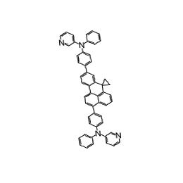 c1ccc(N(c2ccc(-c3ccc4c(c3)C3(CC3)c3cccc5c(-c6ccc(N(c7ccccc7)c7cccnc7)cc6)ccc-4c35)cc2)c2cccnc2)cc1